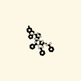 Cc1ccc(C)c(CN(c2ncnc3c2ncn3[C@@H]2O[C@H](COC(=O)c3ccccc3)[C@@H](OC(=O)c3ccccc3)[C@H]2OC(=O)c2ccccc2)C2CCCC2)c1